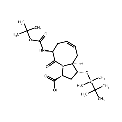 CC(C)(C)OC(=O)N[C@H]1C/C=C\C[C@H]2[C@H](O[Si](C)(C)C(C)(C)C)C[C@@H](C(=O)O)N2C1=O